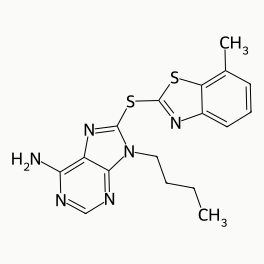 CCCCn1c(Sc2nc3cccc(C)c3s2)nc2c(N)ncnc21